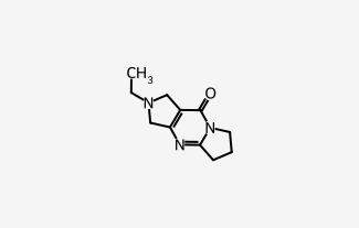 CCN1Cc2nc3n(c(=O)c2C1)CCC3